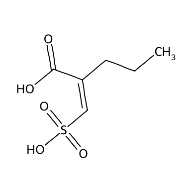 CCCC(=CS(=O)(=O)O)C(=O)O